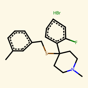 Br.Cc1cccc(CSC2(c3ccccc3F)CCN(C)CC2)c1